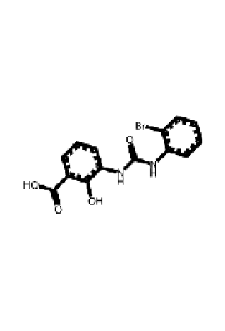 O=C(Nc1ccccc1Br)Nc1cccc(C(=O)O)c1O